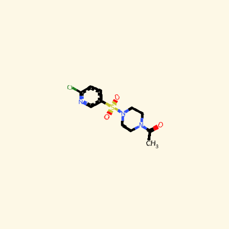 CC(=O)N1CCN(S(=O)(=O)c2ccc(Cl)nc2)CC1